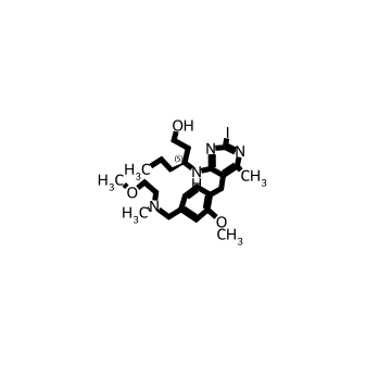 CCC[C@@H](CCO)Nc1nc(I)nc(C)c1Cc1ccc(CN(C)CCOC)cc1OC